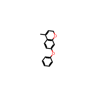 CC1=CCOc2cc(Oc3ccccc3)ccc21